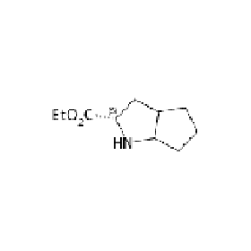 CCOC(=O)[C@@H]1CC2CCCC2N1